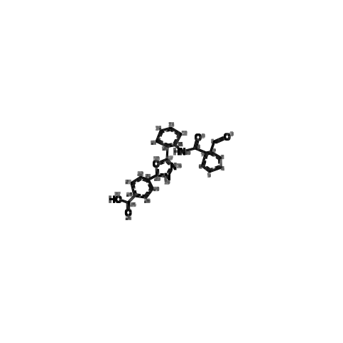 O=Cc1ccccc1C(=O)Nc1ccccc1-c1nnc(-c2ccc(C(=O)O)cc2)o1